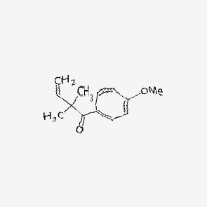 C=CC(C)(C)C(=O)c1ccc(OC)cc1